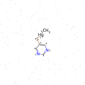 [CH3][Hg][S]c1cncnc1